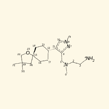 CN(CCN)Cc1nn(C)cc1[C@H]1CC[C@@]2(CC1)CC(C)(C)CO2